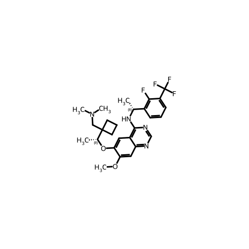 COc1cc2ncnc(N[C@H](C)c3cccc(C(F)(F)F)c3F)c2cc1O[C@H](C)C1(CN(C)C)CCC1